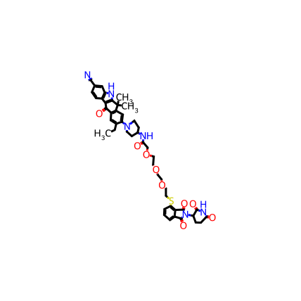 CCc1cc2c(cc1N1CCC(NC(=O)COCCOCCOCCSc3cccc4c3C(=O)N(C3CCC(=O)NC3=O)C4=O)CC1)C(C)(C)c1[nH]c3cc(C#N)ccc3c1C2=O